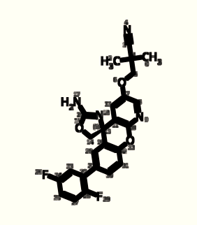 CC(C)(C#N)COc1cnc2c(c1)[C@]1(COC(N)=N1)c1cc(-c3cc(F)ccc3F)ccc1O2